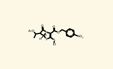 CCSC1=C(C(=O)OCc2ccc([N+](=O)[O-])cc2)N2C(=O)C(C(C)OC(C)=O)[C@H]2S1